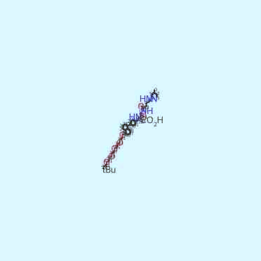 Cc1ccnc(NCCCC(=O)NCC(=O)N[C@@H](CC(=O)O)c2ccc(-c3cccc4c(OCCOCCOCCOCCOCCC(C)(C)C)cccc34)cc2)c1